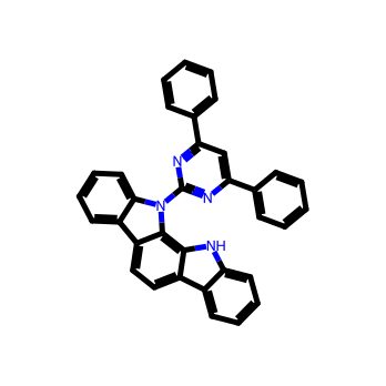 c1ccc(-c2cc(-c3ccccc3)nc(-n3c4ccccc4c4ccc5c6ccccc6[nH]c5c43)n2)cc1